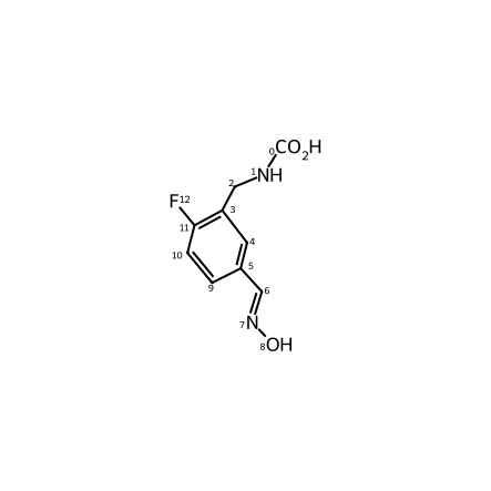 O=C(O)NCc1cc(C=NO)ccc1F